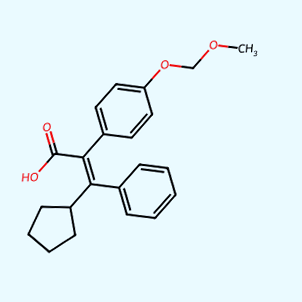 COCOc1ccc(/C(C(=O)O)=C(\c2ccccc2)C2CCCC2)cc1